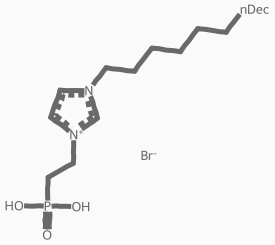 CCCCCCCCCCCCCCCCn1cc[n+](CCP(=O)(O)O)c1.[Br-]